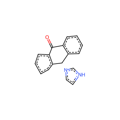 O=C1c2ccccc2Cc2ccccc21.c1c[nH]cn1